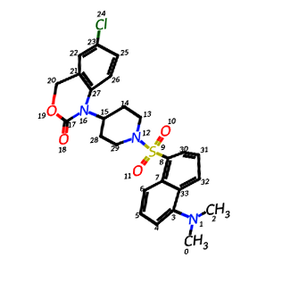 CN(C)c1cccc2c(S(=O)(=O)N3CCC(N4C(=O)OCc5cc(Cl)ccc54)CC3)cccc12